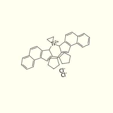 C1=C(C2CCCC2)[CH]([Ti+2]2([CH]3C(C4CCCC4)=Cc4c3ccc3ccccc43)[CH2][CH2]2)c2ccc3ccccc3c21.[Cl-].[Cl-]